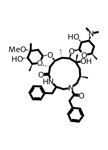 CO[C@]1(C)C[C@H](O[C@H]2[C@H](C)[C@@H](O[C@@H]3O[C@H](C)C[C@H](N(C)C)[C@H]3O)[C@](C)(O)C[C@@H](C)CN(C(=O)Cc3ccccc3)CC(Cc3ccccc3)NC(=O)[C@@H]2C)O[C@@H](C)[C@@H]1O